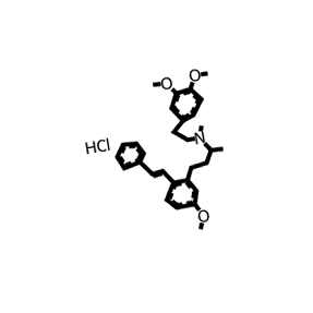 COc1ccc(/C=C/c2ccccc2)c(CCC(C)N(C)CCc2ccc(OC)c(OC)c2)c1.Cl